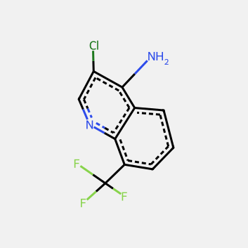 Nc1c(Cl)cnc2c(C(F)(F)F)cccc12